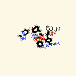 CC(=N)N1CCC(Oc2ccc(C[C@@H](COc3cc(C(=N)N)ccc3CC(=O)C(=O)O)NS(=O)(=O)c3ccccc3)cc2)CC1